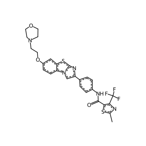 Cc1nc(C(F)(F)F)c(C(=O)Nc2ccc(-c3cn4c(n3)sc3cc(OCCN5CCOCC5)ccc34)cc2)s1